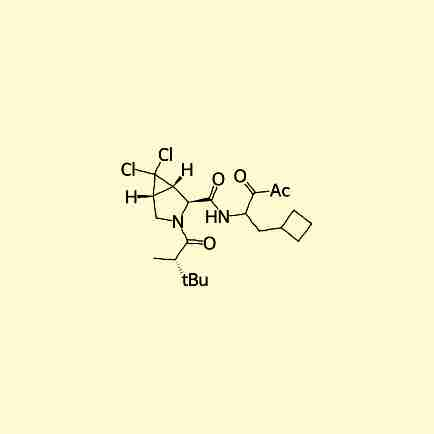 CC(=O)C(=O)C(CC1CCC1)NC(=O)[C@@H]1[C@@H]2[C@H](CN1C(=O)[C@@H](C)C(C)(C)C)C2(Cl)Cl